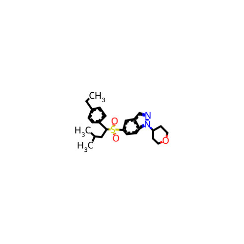 CCc1ccc(C(CC(C)C)S(=O)(=O)c2ccc3c(cnn3C3CCOCC3)c2)cc1